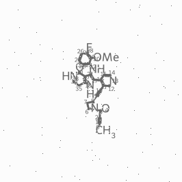 CC#CC(=O)N1CC[C@H]1C#Cc1cnccc1-c1[nH]c2c(c1Nc1cccc(F)c1OC)C(=O)NCC2